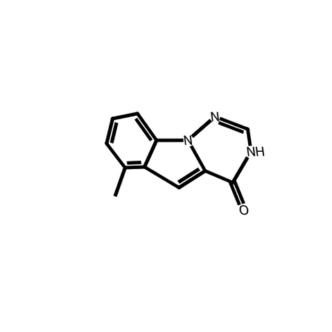 Cc1cccc2c1cc1c(=O)[nH]cnn12